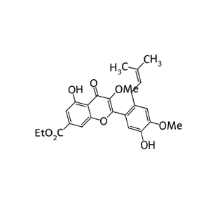 CCOC(=O)c1cc(O)c2c(=O)c(OC)c(-c3cc(O)c(OC)cc3CC=C(C)C)oc2c1